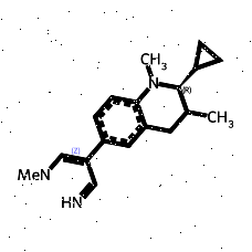 CN/C=C(\C=N)c1ccc2c(c1)CC(C)[C@H](C1CC1)N2C